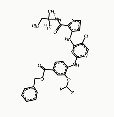 CC(C)(C)CC(C)(C)NC(=O)c1sccc1Nc1nc(Nc2ccc(C(=O)OCc3ccccc3)cc2OC(F)F)ncc1Cl